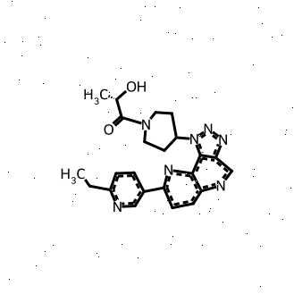 CCc1ccc(-c2ccc3ncc4nnn(C5CCN(C(=O)[C@H](C)O)CC5)c4c3n2)cn1